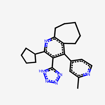 Cc1cc(-c2c3c(nc(C4CCCC4)c2-c2nnn[nH]2)CCCCC3)ccn1